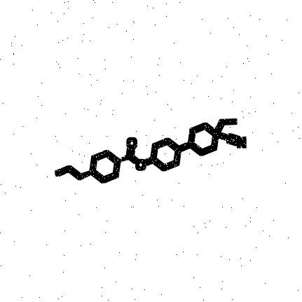 CCC[C@H]1CC[C@H](C(=O)OC2CCC(C3CCC(C#N)(CC)CC3)CC2)CC1